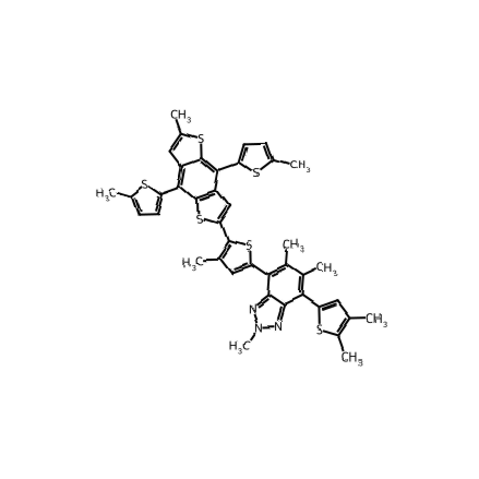 Cc1ccc(-c2c3cc(-c4sc(-c5c(C)c(C)c(-c6cc(C)c(C)s6)c6nn(C)nc56)cc4C)sc3c(-c3ccc(C)s3)c3cc(C)sc23)s1